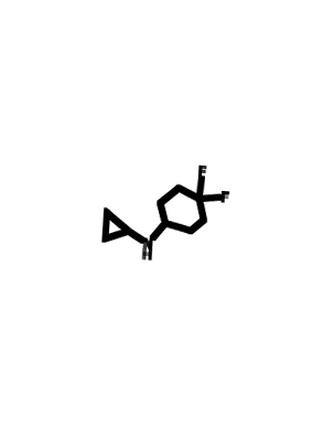 FC1(F)CCC(NC2CC2)CC1